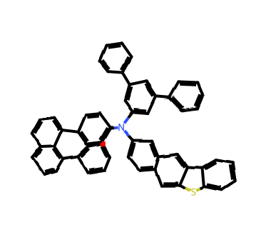 c1ccc(-c2cc(-c3ccccc3)cc(N(c3ccc(-c4cccc5cccc(-c6ccccc6)c45)cc3)c3ccc4cc5sc6ccccc6c5cc4c3)c2)cc1